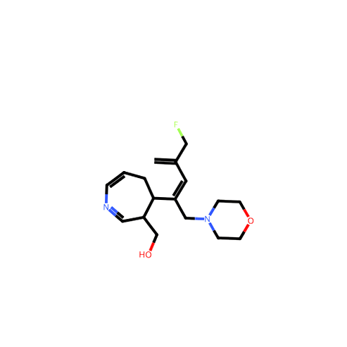 C=C(/C=C(/CN1CCOCC1)C1CC=CN=CC1CO)CF